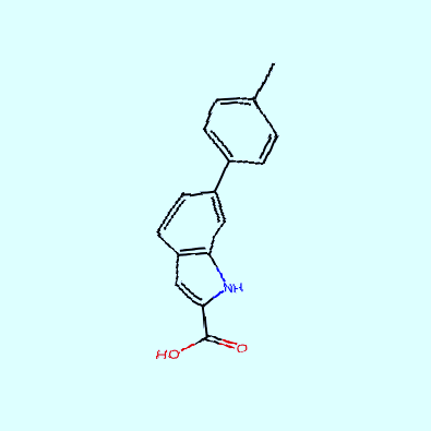 Cc1ccc(-c2ccc3cc(C(=O)O)[nH]c3c2)cc1